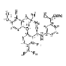 [2H]C([2H])([2H])Oc1c(Oc2ccc(C(F)F)c(F)c2C(=O)Nc2ccnc(C(=O)OC)c2)ccc(OC(F)(F)F)c1F